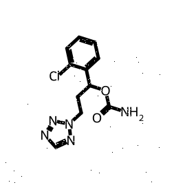 NC(=O)OC(CCn1ncnn1)c1ccccc1Cl